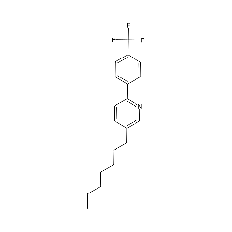 CCCCCCCc1ccc(-c2ccc(C(F)(F)F)cc2)nc1